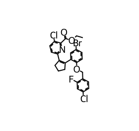 CCOC(=O)c1nc(C2=C(c3cc(Br)ccc3OCc3ccc(Cl)cc3F)CCC2)ccc1Cl